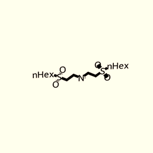 CCCCCCS(=O)(=O)CC[N]CCS(=O)(=O)CCCCCC